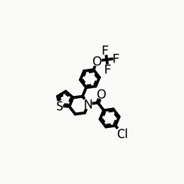 O=C(c1ccc(Cl)cc1)N1CCc2sccc2C1c1ccc(OC(F)(F)F)cc1